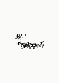 CC1(C)C[C@H](CCCNc2cccc(S(=O)(=O)NC(=O)c3ccc(N4CC[C@@H](OCCC5C6(CC6)C56CC6)C4=O)nc3Cl)n2)CN1C(=O)O